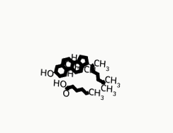 CC(C)CCCC(C)[C@H]1CC[C@H]2[C@@H]3CC=C4C[C@@H](O)CC[C@]4(C)[C@H]3CC[C@]12C.CCCCCC(=O)O